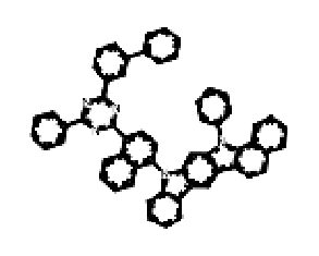 c1ccc(-c2cccc(-c3nc(-c4ccccc4)nc(-c4ccc(-n5c6ccccc6c6cc7c8ccc9ccccc9c8n(-c8ccccc8)c7cc65)c5ccccc45)n3)c2)cc1